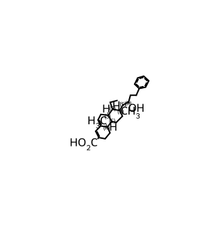 C[C@]12CC[C@H]3[C@@H](CC=C4C=C(C(=O)O)CC[C@@]43C)[C@@H]1CC[C@@H]2[C@H](O)CCc1ccccc1